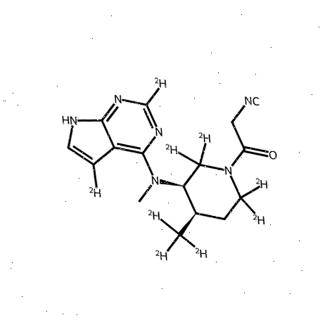 [2H]c1nc(N(C)[C@@H]2[C@H](C([2H])([2H])[2H])CC([2H])([2H])N(C(=O)C[N+]#[C-])C2([2H])[2H])c2c([2H])c[nH]c2n1